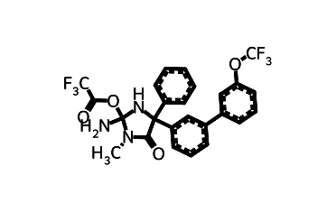 CN1C(=O)C(c2ccccc2)(c2cccc(-c3cccc(OC(F)(F)F)c3)c2)NC1(N)OC(=O)C(F)(F)F